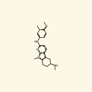 CNC1CCc2c(c3ccc(NC(/C=C\C(C)OC)=C/C(C)OC)nc3n2C)C1